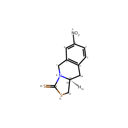 O=[N+]([O-])c1ccc2c(c1)CN1C(=S)SC[C@@H]1C2